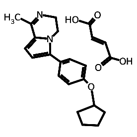 CC1=NCCn2c1ccc2-c1ccc(OC2CCCC2)cc1.O=C(O)C=CC(=O)O